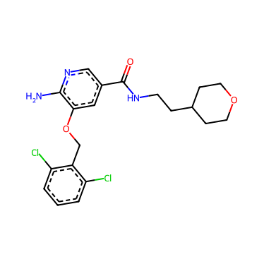 Nc1ncc(C(=O)NCCC2CCOCC2)cc1OCc1c(Cl)cccc1Cl